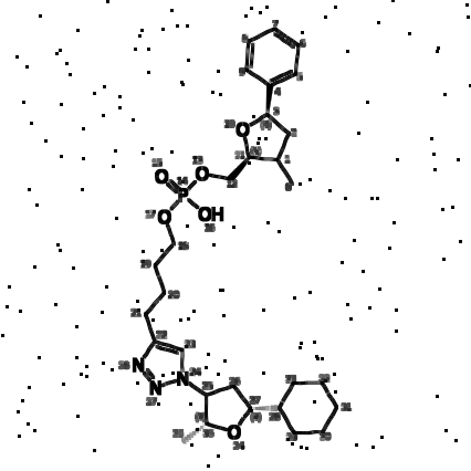 CC1C[C@H](c2ccccc2)O[C@@H]1COP(=O)(O)OCCCCc1cn(C2C[C@H](C3CCCCC3)O[C@@H]2C)nn1